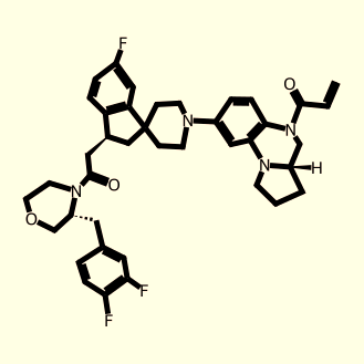 C=CC(=O)N1C[C@@H]2CCCN2c2cc(N3CCC4(CC3)C[C@@H](CC(=O)N3CCOC[C@H]3Cc3ccc(F)c(F)c3)c3ccc(F)cc34)ccc21